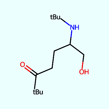 CC(C)(C)NC(CO)CCC(=O)C(C)(C)C